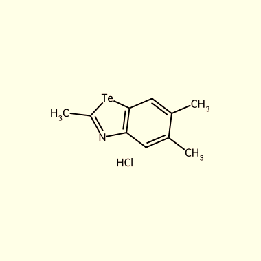 Cc1nc2cc(C)c(C)cc2[te]1.Cl